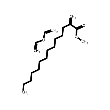 C=C(CCCCCCCCCCCC)C(=O)OC.C=COC=C